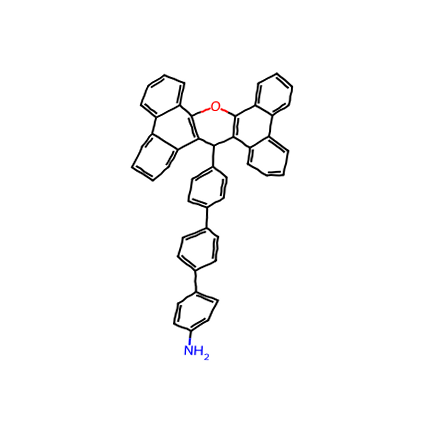 Nc1ccc(-c2ccc(-c3ccc(C4c5c(c6ccccc6c6ccccc56)Oc5c4c4ccccc4c4ccccc54)cc3)cc2)cc1